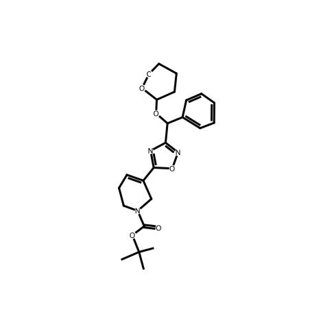 CC(C)(C)OC(=O)N1CCC=C(c2nc(C(OC3CCCCO3)c3ccccc3)no2)C1